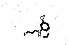 CCC.COc1cccc(NCCCF)c1